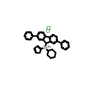 C1=CC[C]([Ti+2](=[C]2CCCCC2)[CH]2c3cc(-c4ccccc4)ccc3-c3ccc(-c4ccccc4)cc32)=C1.[Cl-].[Cl-]